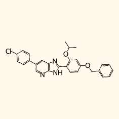 CC(C)Oc1cc(OCc2ccccc2)ccc1-c1nc2cc(-c3ccc(Cl)cc3)cnc2[nH]1